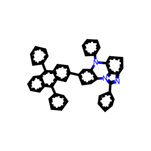 c1ccc(-c2c3ccccc3c(-c3ccccc3)c3cc(-c4ccc5c(c4)N(c4ccccc4)c4cccc6nc(-c7ccccc7)n-5c46)ccc23)cc1